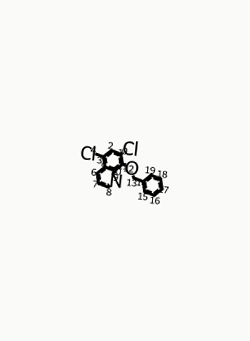 Clc1cc(Cl)c2cccnc2c1OCc1ccccc1